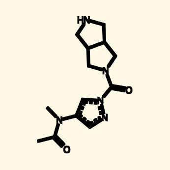 CC(=O)N(C)c1cnn(C(=O)N2CC3CNCC3C2)c1